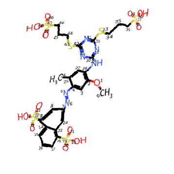 COc1cc(/N=N/c2cc(S(=O)(=O)O)c3cccc(S(=O)(=O)O)c3c2)c(C)cc1Nc1nc(SCCCS(=O)(=O)O)nc(SCCCS(=O)(=O)O)n1